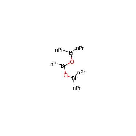 CC[CH2][Bi]([CH2]CC)[O][Bi]([CH2]CC)[O][Bi]([CH2]CC)[CH2]CC